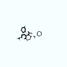 C[C@H]1C[C@H](C(=O)O)CC[C@H]1C(=O)N1CCC2(S(=O)(=O)c3cccc(F)c3)c3ccc(C(F)(C(F)(F)F)C(F)(F)F)nc3CCC12